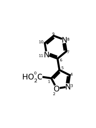 O=C(O)c1oncc1-c1cnccn1